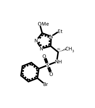 CCn1c(OC)nnc1[C@H](C)NS(=O)(=O)c1ccccc1Br